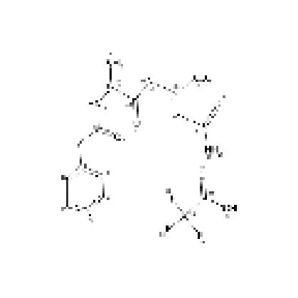 C[C@H](NC(=O)Cc1ccncc1)C(=O)N[C@@H](CC(N)=O)C(=O)O.O=C(O)C(F)(F)F